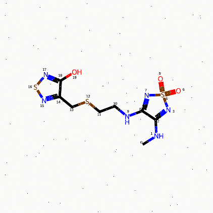 CNC1=NS(=O)(=O)N=C1NCCSCc1nsnc1O